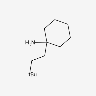 CC(C)(C)CCC1(N)CCCCC1